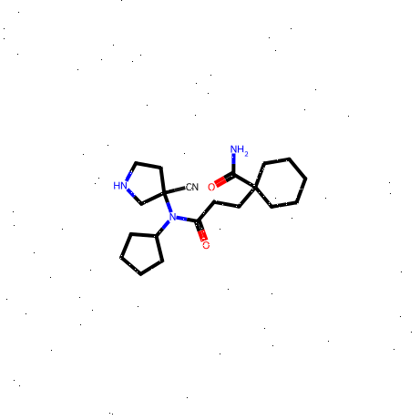 N#CC1(N(C(=O)[CH]CC2(C(N)=O)CCCCC2)C2CCCC2)CCNC1